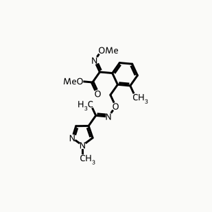 CO/N=C(/C(=O)OC)c1cccc(C)c1CO/N=C(\C)c1cnn(C)c1